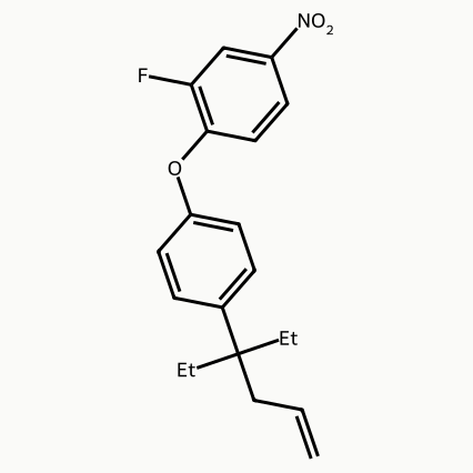 C=CCC(CC)(CC)c1ccc(Oc2ccc([N+](=O)[O-])cc2F)cc1